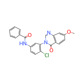 COc1ccc2c(=O)n(-c3cc(NC(=O)c4ccccc4)ccc3Cl)cnc2c1